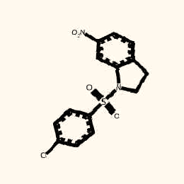 O=[N+]([O-])c1ccc2c(c1)N(S(=O)(=O)c1ccc(Cl)cc1)CC2